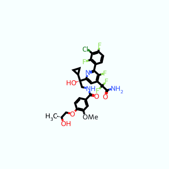 COc1cc(C(=O)NC[C@](O)(c2cc(C(F)(F)C(N)=O)c(F)c(-c3ccc(F)c(Cl)c3F)n2)C2CC2)ccc1OC[C@@H](C)O